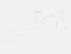 c1ccc2c(c1)ncn2-c1ccnc(NCCC2CCCNC2)n1